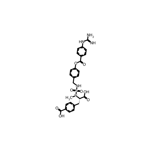 CN([C@@H](Cc1ccc(C(=O)O)cc1)C(=O)O)S(=O)(=O)NCc1ccc(OC(=O)c2ccc(NC(=N)N)cc2)cc1